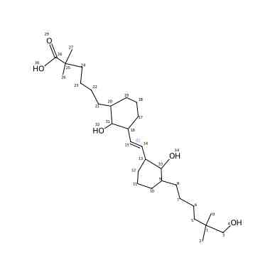 CC(C)(CO)CCCCC1CCCC(/C=C/C2CCCC(CCCCC(C)(C)C(=O)O)C2O)C1O